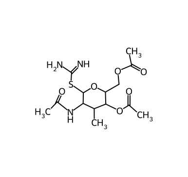 CC(=O)NC1C(SC(=N)N)OC(COC(C)=O)C(OC(C)=O)C1C